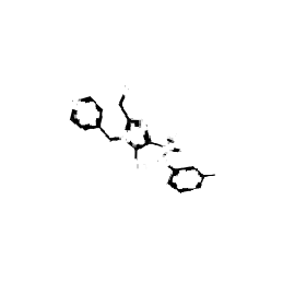 CC(C)c1c(S(=O)(=O)Oc2cccc(F)c2)nc(CN)n1Cc1ccncc1